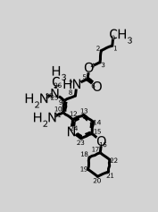 CCCCOC(=O)NC/C(=C(/N)c1ccc(OC2CCCCC2)cn1)N(C)N